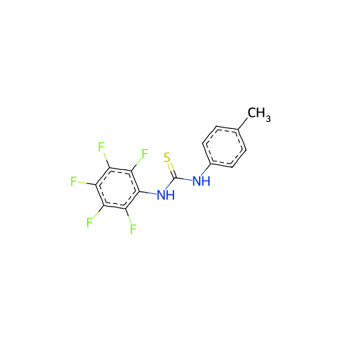 Cc1ccc(NC(=S)Nc2c(F)c(F)c(F)c(F)c2F)cc1